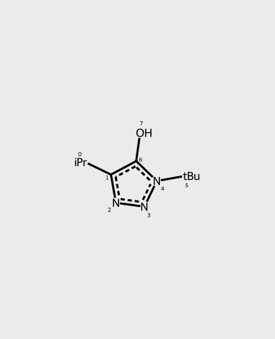 CC(C)c1nnn(C(C)(C)C)c1O